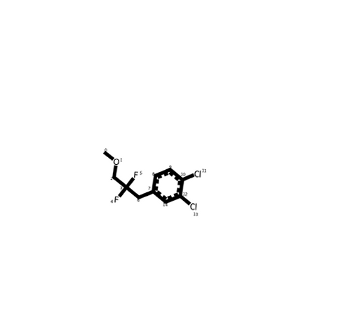 COCC(F)(F)Cc1ccc(Cl)c(Cl)c1